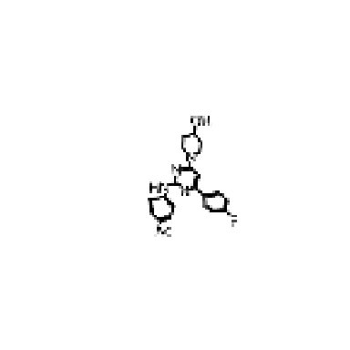 CC(=O)c1ccc(Nc2nc(-c3ccc(F)cc3)cc(N3CCC(O)CC3)n2)cc1